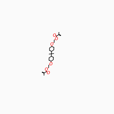 C=C(C)C(=O)OCCOC1CCC(C(C)(C)C2CCC(OCCOC(=O)C(=C)C)CC2)CC1